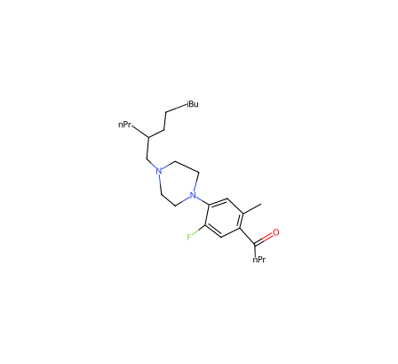 CCCC(=O)c1cc(F)c(N2CCN(CC(CCC)CCC(C)CC)CC2)cc1C